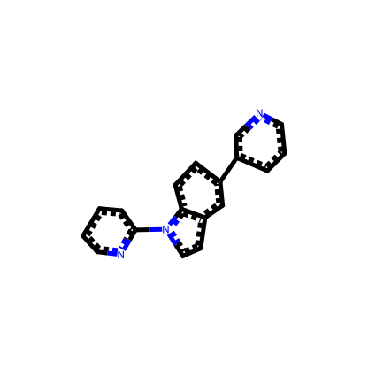 c1ccc(-n2ccc3cc(-c4cccnc4)ccc32)nc1